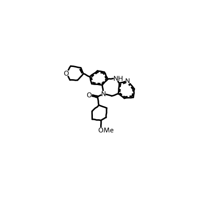 COC1CCC(C(=O)N2Cc3cccnc3Nc3ccc(C4=CCOCC4)cc32)CC1